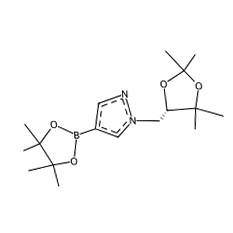 CC1(C)O[C@@H](Cn2cc(B3OC(C)(C)C(C)(C)O3)cn2)C(C)(C)O1